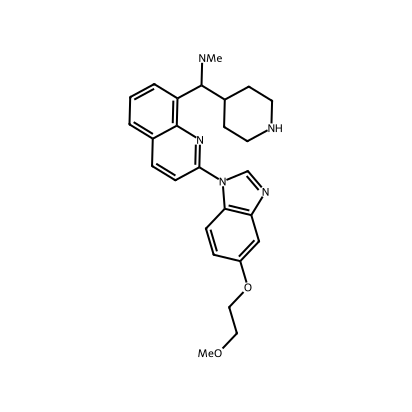 CNC(c1cccc2ccc(-n3cnc4cc(OCCOC)ccc43)nc12)C1CCNCC1